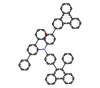 c1ccc(-c2ccc(-c3ccccc3)c(N(c3ccc(-c4ccc5c6ccccc6c6ccccc6c5c4)cc3)c3ccc(-c4c(-c5ccccc5)c5ccccc5c5ccccc45)cc3)c2)cc1